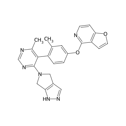 Cc1cc(Oc2nccc3occc23)ccc1-c1c(C)ncnc1N1Cc2cn[nH]c2C1